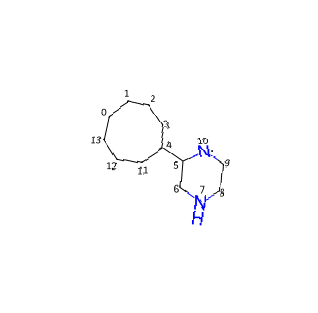 C1CCCC(C2CNCC[N]2)CCC1